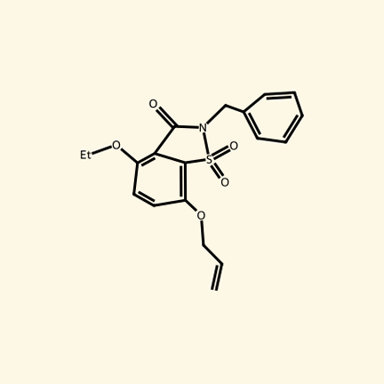 C=CCOc1ccc(OCC)c2c1S(=O)(=O)N(Cc1ccccc1)C2=O